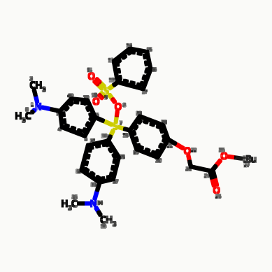 CN(C)c1ccc(S(OS(=O)(=O)c2ccccc2)(c2ccc(OCC(=O)OC(C)(C)C)cc2)c2ccc(N(C)C)cc2)cc1